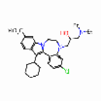 CCN(CC)CC(O)CN1CCn2c(c(C3CCCCC3)c3ccc(C(=O)O)cc32)-c2ccc(Cl)cc21